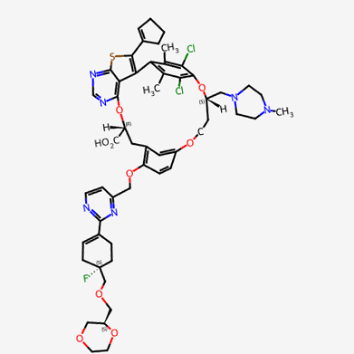 Cc1c(Cl)c2c(Cl)c(C)c1-c1c(C3=CCCC3)sc3ncnc(c13)O[C@@H](C(=O)O)Cc1cc(ccc1OCc1ccnc(C3=CC[C@](F)(COC[C@@H]4COCCO4)CC3)n1)OCC[C@@H](CN1CCN(C)CC1)O2